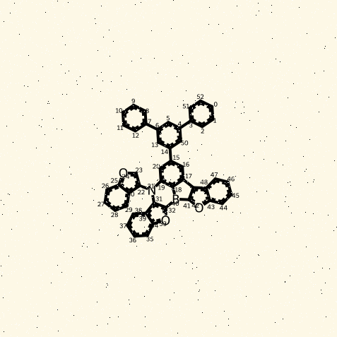 c1ccc(-c2cc(-c3ccccc3)cc(-c3cc4c5c(c3)N(c3coc6ccccc36)c3c(oc6ccccc36)B5c3oc5ccccc5c3-4)c2)cc1